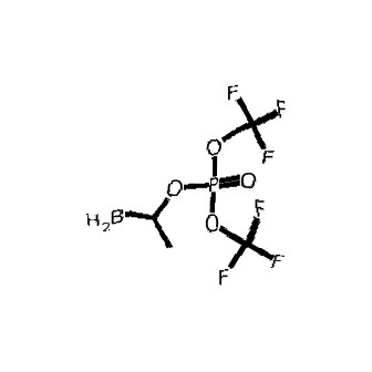 BC(C)OP(=O)(OC(F)(F)F)OC(F)(F)F